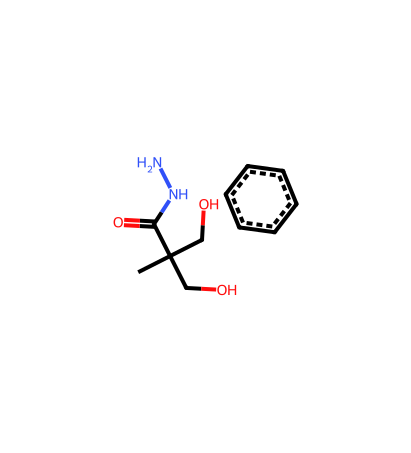 CC(CO)(CO)C(=O)NN.c1ccccc1